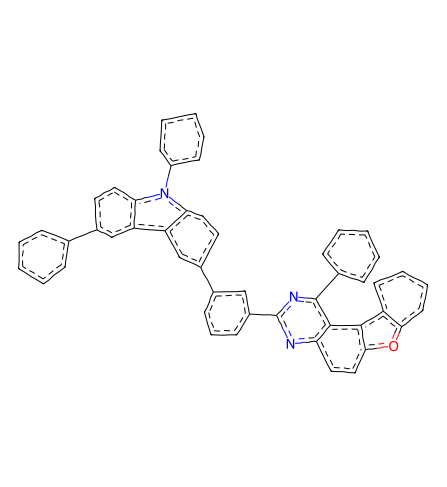 c1ccc(-c2ccc3c(c2)c2cc(-c4cccc(-c5nc(-c6ccccc6)c6c(ccc7oc8ccccc8c76)n5)c4)ccc2n3-c2ccccc2)cc1